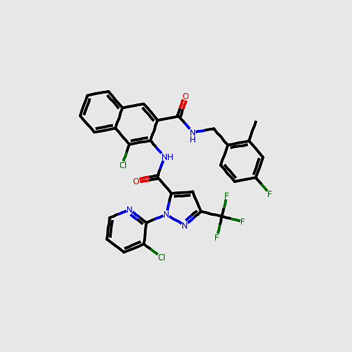 Cc1cc(F)ccc1CNC(=O)c1cc2ccccc2c(Cl)c1NC(=O)c1cc(C(F)(F)F)nn1-c1ncccc1Cl